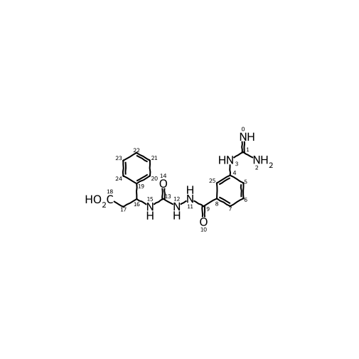 N=C(N)Nc1cccc(C(=O)NNC(=O)NC(CC(=O)O)c2ccccc2)c1